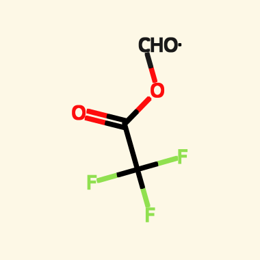 O=[C]OC(=O)C(F)(F)F